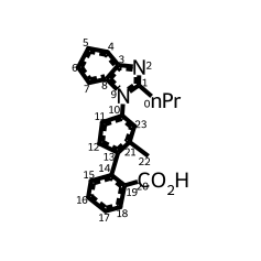 CCCc1nc2ccccc2n1-c1ccc(-c2ccccc2C(=O)O)c(C)c1